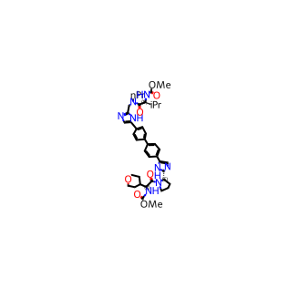 CCCN(Cc1ncc(-c2ccc(-c3ccc(-c4cnc([C@@H]5CCCN5C(=O)[C@H](NC(=O)OC)C5CCOCC5)[nH]4)cc3)cc2)[nH]1)C(=O)[C@@H](NC(=O)OC)C(C)C